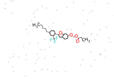 C=CC(=O)OCOc1ccc2cc(-c3ccc(CCCCC)cc3C(F)(F)F)oc2c1